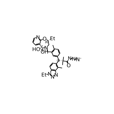 CC[C@@H]1CN(Cc2cc([C@@H](c3ccc4c(nnn4CC)c3C)C(C)(C)C(=O)N=[N+]=[N-])ccc2C)S(O)(O)c2cccnc2O1